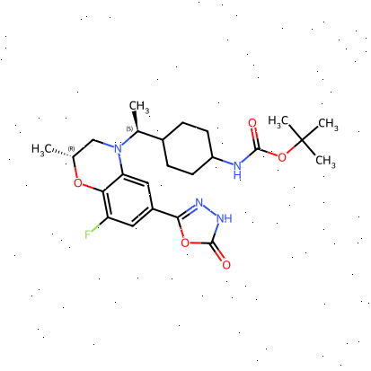 C[C@@H]1CN([C@@H](C)C2CCC(NC(=O)OC(C)(C)C)CC2)c2cc(-c3n[nH]c(=O)o3)cc(F)c2O1